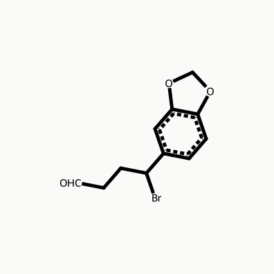 O=CCCC(Br)c1ccc2c(c1)OCO2